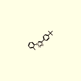 Cc1ccccc1-n1cc(-c2ccc(C(C)(C)C)cc2)nn1